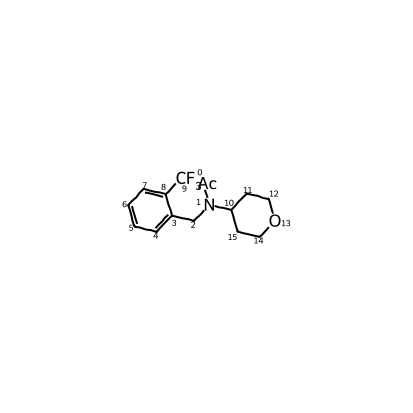 CC(=O)N(Cc1ccccc1C(F)(F)F)C1CCOCC1